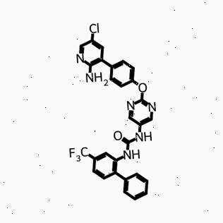 Nc1ncc(Cl)cc1-c1ccc(Oc2ncc(NC(=O)Nc3cc(C(F)(F)F)ccc3-c3ccccc3)cn2)cc1